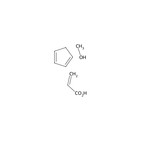 C1=CCC=C1.C=CC(=O)O.CO